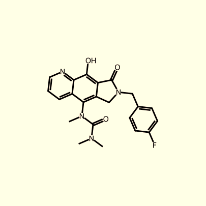 CN(C)C(=O)N(C)c1c2c(c(O)c3ncccc13)C(=O)N(Cc1ccc(F)cc1)C2